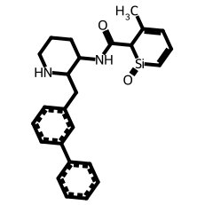 CC1=CC=C[Si](=O)C1C(=O)NC1CCCNC1Cc1cccc(-c2ccccc2)c1